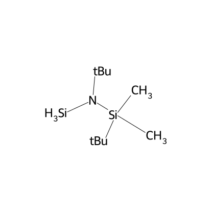 CC(C)(C)N([SiH3])[Si](C)(C)C(C)(C)C